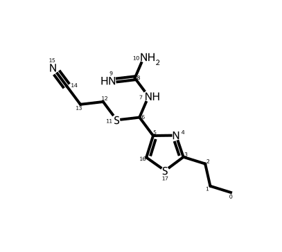 CCCc1nc(C(NC(=N)N)SCCC#N)cs1